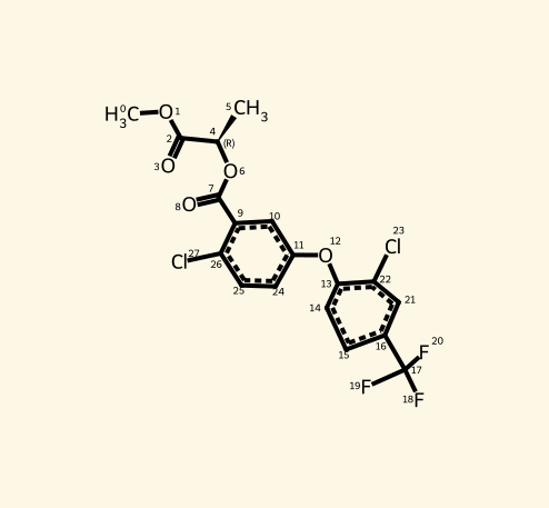 COC(=O)[C@@H](C)OC(=O)c1cc(Oc2ccc(C(F)(F)F)cc2Cl)ccc1Cl